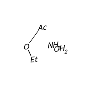 CCOC(C)=O.N.O